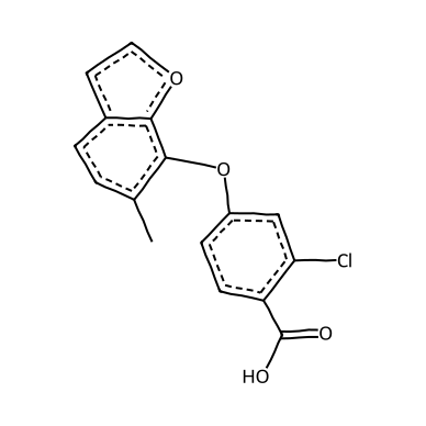 Cc1ccc2ccoc2c1Oc1ccc(C(=O)O)c(Cl)c1